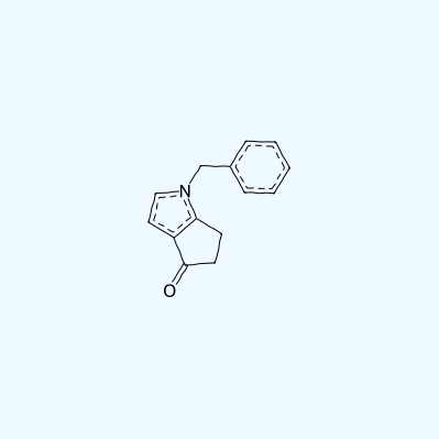 O=C1CCc2c1ccn2Cc1ccccc1